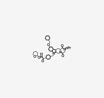 CCCN1CC(=O)N2Cc3c(c4cc(OCc5ccccc5)ccc4n3Cc3ccc(C(=O)NOC4CCCCO4)cc3)CC2C1=O